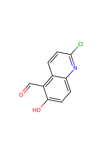 O=Cc1c(O)ccc2nc(Cl)ccc12